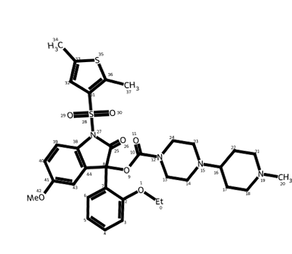 CCOc1ccccc1C1(OC(=O)N2CCN(C3CCN(C)CC3)CC2)C(=O)N(S(=O)(=O)c2cc(C)sc2C)c2ccc(OC)cc21